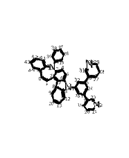 C1=Cc2c(ccc3c2c2ccccc2n3-c2cc(-c3cccnc3)cc(-c3cccnc3)c2)N(c2ccccc2)c2ccccc21